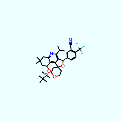 CC(C)c1nc2c(c3c1[C@@H](c1ccc(C(F)(F)F)c(C#N)c1)OC31CCOCC1)[C@@H](O[Si](C)(C)C(C)(C)C)CC(C)(C)C2